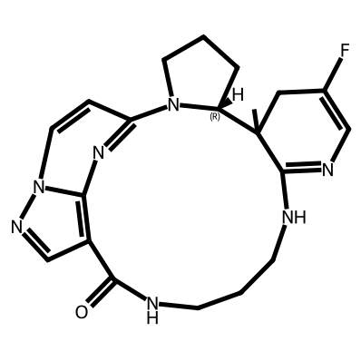 CC12CC(F)=CN=C1NCCCNC(=O)c1cnn3ccc(nc13)N1CCC[C@@H]12